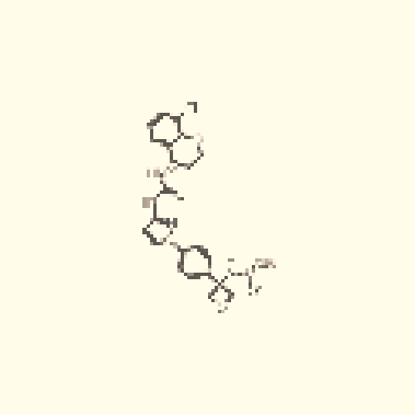 CC(C)(C)[S+]([O-])NC1(c2ccc(-n3ccc(NC(=O)N[C@H]4CCOc5c(Cl)cccc54)n3)cc2)COC1